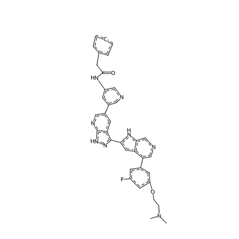 CN(C)CCOc1cc(F)cc(-c2cncc3[nH]c(-c4n[nH]c5ncc(-c6cncc(NC(=O)Cc7ccccc7)c6)cc45)cc23)c1